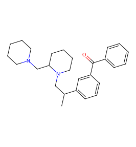 CC(CN1CCCCC1CN1CCCCC1)c1cccc(C(=O)c2ccccc2)c1